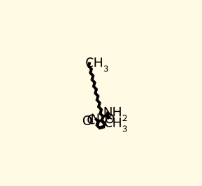 CCCCCCCCCCCCCCCCC(C(N)=O)c1c(C)cccc1N=C=O